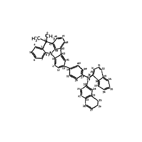 CC1(C)c2ccccc2-n2c3ccc(-c4ccc(N(c5ccc6c(c5)CCC=C6)c5cccc6ccccc56)cc4)cc3c3cccc1c32